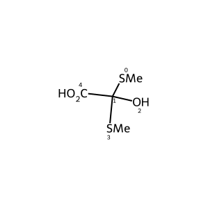 CSC(O)(SC)C(=O)O